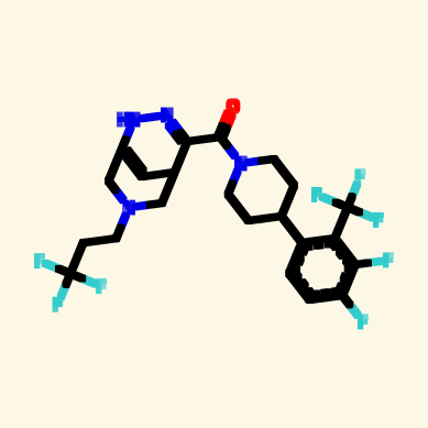 O=C(C1=NNC2=CC1CN(CCC(F)(F)F)C2)N1CCC(c2ccc(F)c(F)c2C(F)(F)F)CC1